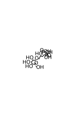 O=P(O)(O)C(CCCO[C@@H]1O[C@H](CO)[C@@H](O)[C@H](O)[C@H]1O)P(=O)(O)O